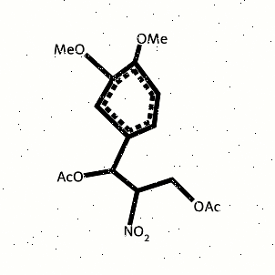 COc1ccc(C(OC(C)=O)C(COC(C)=O)[N+](=O)[O-])cc1OC